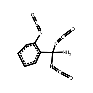 NC(N=C=O)(N=C=O)c1ccccc1N=C=O